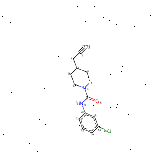 C#CCC1CCN(C(=O)Nc2cccc(Cl)c2)CC1